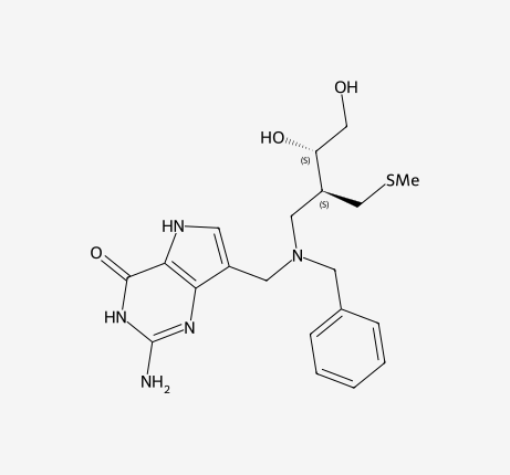 CSC[C@@H](CN(Cc1ccccc1)Cc1c[nH]c2c(=O)[nH]c(N)nc12)[C@H](O)CO